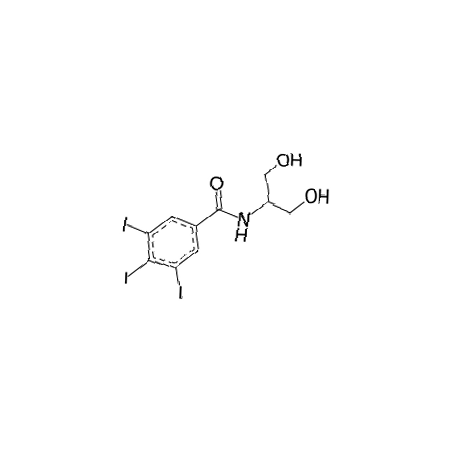 O=C(NC(CO)CO)c1cc(I)c(I)c(I)c1